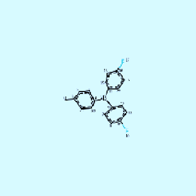 Cc1ccc(B(c2ccc(F)cc2)c2ccc(F)cc2)cc1